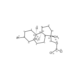 CC(C)C1CC[C@@H]2C(CCC3[C@@](C)(COP(Cl)Cl)CCC[C@@]32C)C1